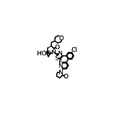 O=C(O)C[C@@H](CC1CCOCC1)C(=O)N(c1nc(-c2cc(Cl)ccc2-c2ccc(N3CCCC3=O)nc2)c(F)s1)C1CC1